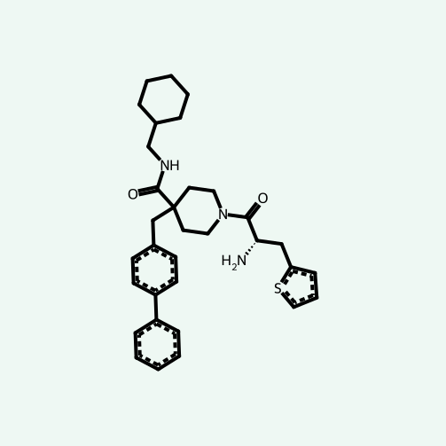 N[C@@H](Cc1cccs1)C(=O)N1CCC(Cc2ccc(-c3ccccc3)cc2)(C(=O)NCC2CCCCC2)CC1